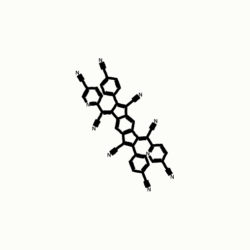 N#CC1=C(c2ccc(C#N)cc2)/C(=C(/C#N)c2ccc(C#N)cn2)c2cc3c(cc21)/C(=C(\C#N)c1ccc(C#N)cn1)C(c1ccc(C#N)cc1)=C3C#N